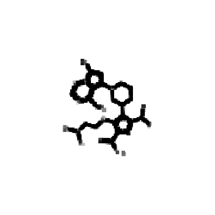 CCN(CC)CCOc1c(C(N)=O)sc(C(F)F)c1C1CCCN(c2cc(Br)n3ncnc(N)c23)C1